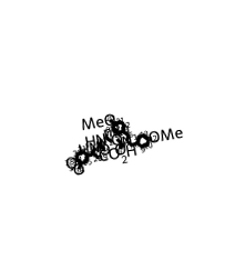 CCCC[C@@H](COC(=O)N(Cc1ccc(OC)cc1)Cc1ccc(OC)cc1)NC(=O)NC(CC(=O)O)c1ccc2c(c1)OCO2